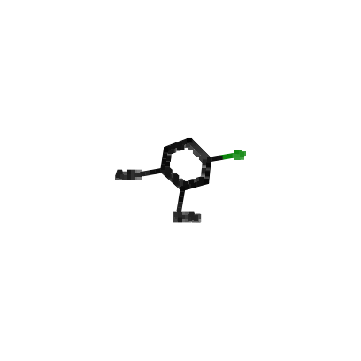 CC(=O)Nc1ccc(Br)cc1NC(C)=O